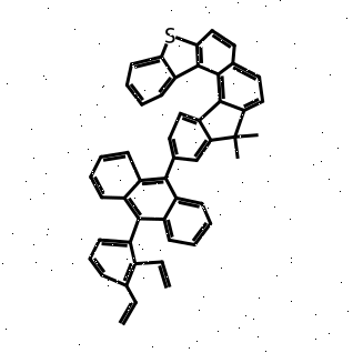 C=Cc1cccc(-c2c3ccccc3c(-c3ccc4c(c3)C(C)(C)c3ccc5ccc6sc7ccccc7c6c5c3-4)c3ccccc23)c1C=C